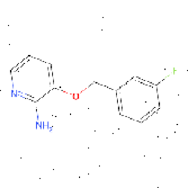 Nc1ncccc1OCc1cccc(F)c1